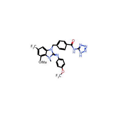 COc1cc(C(F)(F)F)cc2c1n(C)c(=Nc1ccc(OC(F)(F)F)cc1)n2Cc1ccc(C(=O)Nc2nnn[nH]2)cc1